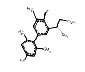 CCOC(=O)C[C@H](NC)c1cc(-c2c(C)cc(C)cc2C)cc(C)c1F